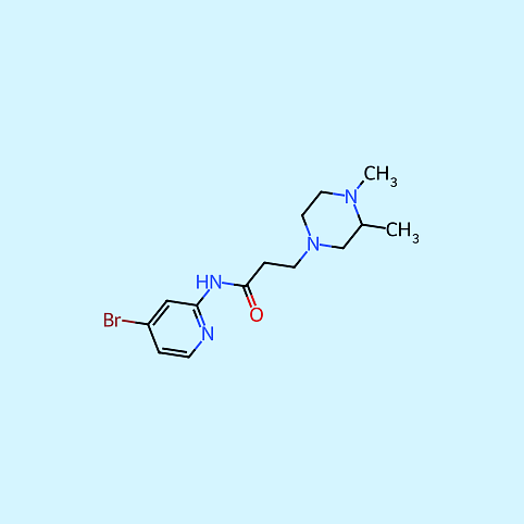 CC1CN(CCC(=O)Nc2cc(Br)ccn2)CCN1C